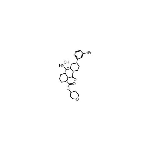 CC(C)c1cccc(C2CCN(C(=O)[C@@H]3[C@@H](C(=O)NO)CCCN3C(=O)OC3CCOCC3)CC2)c1